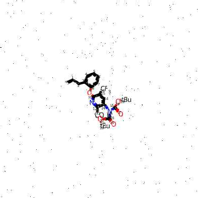 C=CCc1ccccc1Oc1nc(C(=O)O)c(N(C(=O)OC(C)(C)C)C(=O)OC(C)(C)C)cc1C(F)(F)F